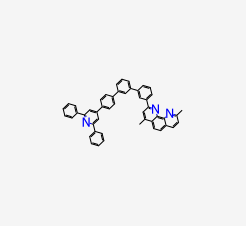 Cc1ccc2ccc3c(C)cc(-c4cccc(-c5cccc(-c6ccc(-c7cc(-c8ccccc8)nc(-c8ccccc8)c7)cc6)c5)c4)nc3c2n1